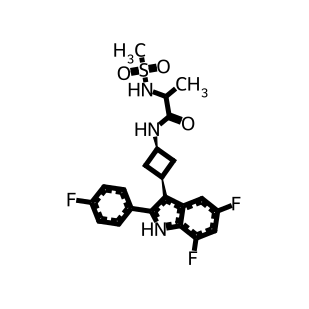 CC(NS(C)(=O)=O)C(=O)N[C@H]1C[C@@H](c2c(-c3ccc(F)cc3)[nH]c3c(F)cc(F)cc32)C1